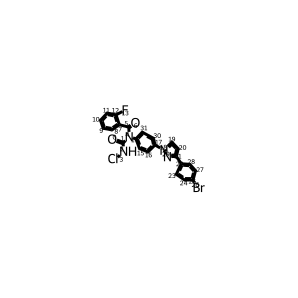 O=C(NCl)N(C(=O)c1ccccc1F)c1ccc(-n2ccc(-c3ccc(Br)cc3)n2)cc1